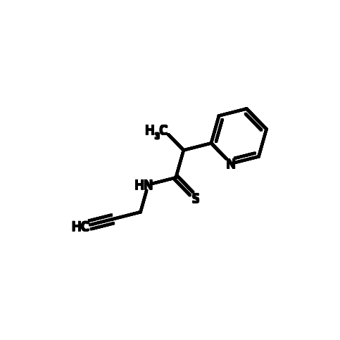 C#CCNC(=S)C(C)c1ccccn1